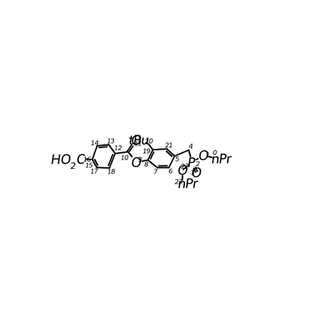 CCCOP(=O)(Cc1ccc(OC(=O)c2ccc(C(=O)O)cc2)c(C(C)(C)C)c1)OCCC